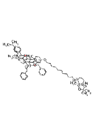 CC(C)CCC[C@@H](C)[C@H]1CCC2(C(=O)OCc3ccccc3)C3(C(=O)OCc4ccccc4)CCC4=C[C@@H](OCCCCCCCCCCO[C@H]5CCC[C@H]6OC(C)(C)OC[C@@]56C)CC[C@]4(C)C3(C(=O)OCc3ccccc3)CC[C@]12C